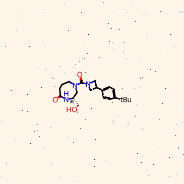 CC(C)(C)c1ccc(C2CN(C(=O)N3CCCC(=O)N[C@@H](CO)C3)C2)cc1